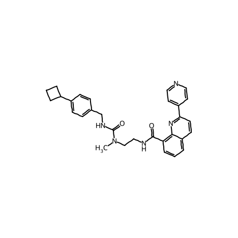 CN(CCNC(=O)c1cccc2ccc(-c3ccncc3)nc12)C(=O)NCc1ccc(C2CCC2)cc1